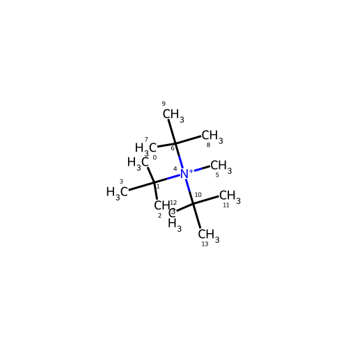 CC(C)(C)[N+](C)(C(C)(C)C)C(C)(C)C